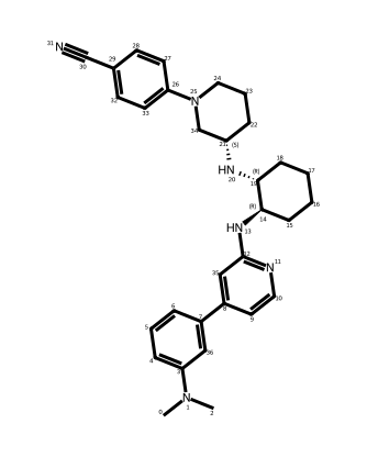 CN(C)c1cccc(-c2ccnc(N[C@@H]3CCCC[C@H]3N[C@H]3CCCN(c4ccc(C#N)cc4)C3)c2)c1